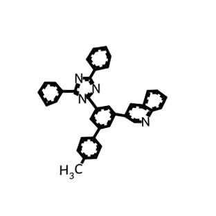 Cc1ccc(-c2cc(-c3cnc4ccccc4c3)cc(-c3nc(-c4ccccc4)nc(-c4ccccc4)n3)c2)cc1